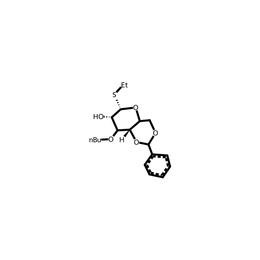 CCCCOC1[C@H]2OC(c3ccccc3)OCC2O[C@@H](SCC)[C@H]1O